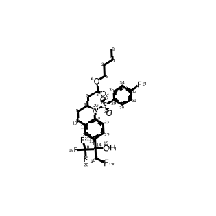 CCCCOC(=O)CC1CCc2cc(C(O)(CF)C(F)(F)F)ccc2N1S(=O)(=O)c1ccc(F)cc1